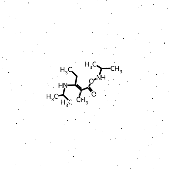 CCC(NC(C)C)=C(C)C(=O)ONC(C)C